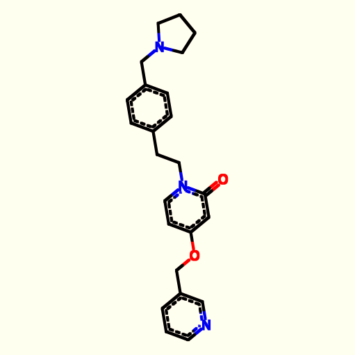 O=c1cc(OCc2cccnc2)ccn1CCc1ccc(CN2CCCC2)cc1